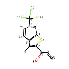 C=CC(=O)c1sc2cc(C(F)(F)F)ccc2c1C